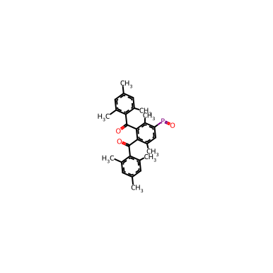 Cc1cc(C)c(C(=O)c2c(C)cc(P=O)c(C)c2C(=O)c2c(C)cc(C)cc2C)c(C)c1